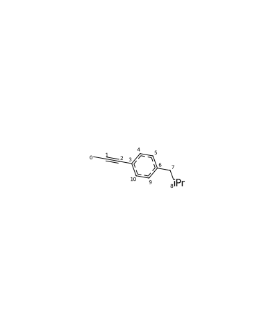 CC#Cc1ccc(CC(C)C)cc1